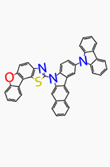 c1ccc2cc3c(cc2c1)c1cc(-n2c4ccccc4c4ccccc42)ccc1n3-c1nc2ccc3oc4ccccc4c3c2s1